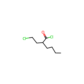 CCCCC(CCCl)C(=O)Cl